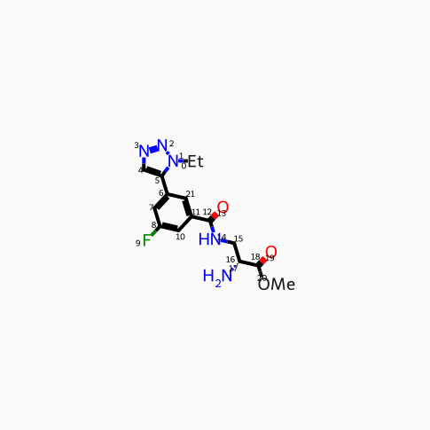 CCn1nncc1-c1cc(F)cc(C(=O)NC[C@@H](N)C(=O)OC)c1